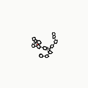 c1ccc(-c2cccc(-c3cccc(N(c4ccc(-c5ccc(-c6ccccc6-n6c7ccccc7c7ccccc76)cc5)cc4)c4ccc(-c5cccc(-c6ccc7ccccc7c6)c5)cc4)c3)c2)cc1